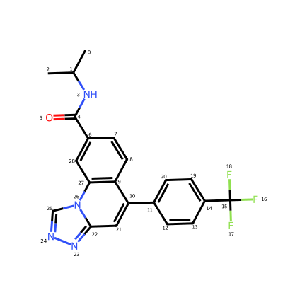 CC(C)NC(=O)c1ccc2c(-c3ccc(C(F)(F)F)cc3)cc3nncn3c2c1